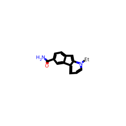 CCn1cccc2c3cc(C(N)=O)ccc3cc1-2